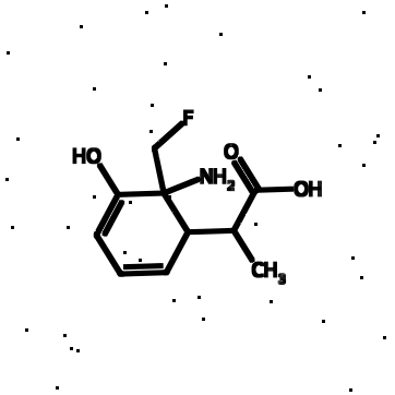 CC(C(=O)O)C1C=CC=C(O)C1(N)CF